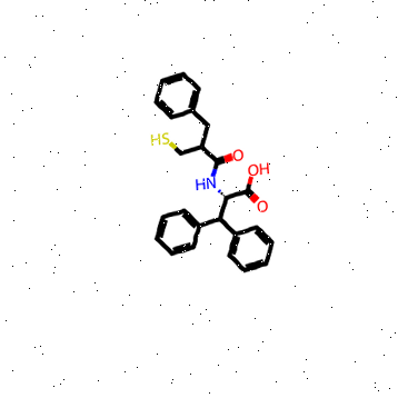 O=C(N[C@H](C(=O)O)C(c1ccccc1)c1ccccc1)C(CS)Cc1ccccc1